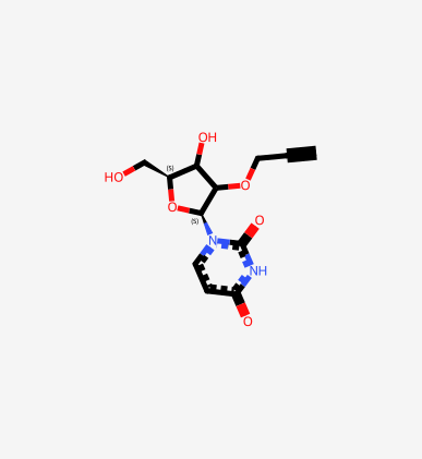 C#CCOC1C(O)[C@H](CO)O[C@@H]1n1ccc(=O)[nH]c1=O